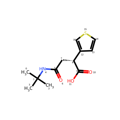 CC(C)(C)NC(=O)C[C@@H](C(=O)O)c1ccsc1